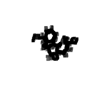 Fc1cccc2c3c(sc12)COc1ccc(Cl)nc1-3